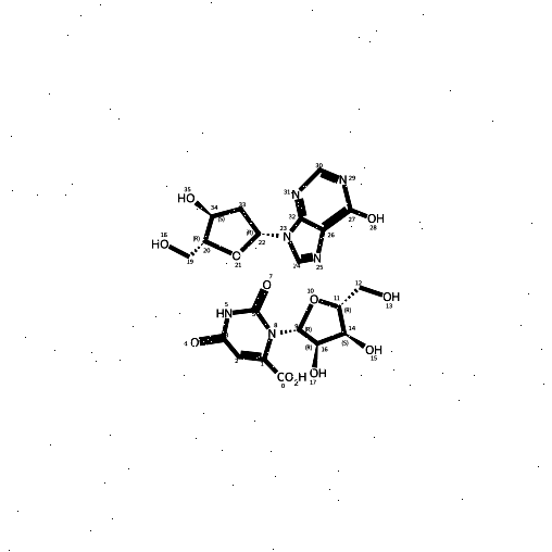 O=C(O)c1cc(=O)[nH]c(=O)n1[C@@H]1O[C@H](CO)[C@@H](O)[C@H]1O.OC[C@H]1O[C@@H](n2cnc3c(O)ncnc32)C[C@@H]1O